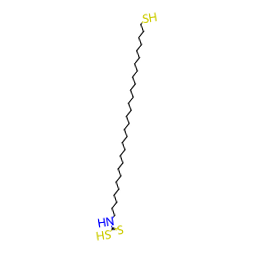 S=C(S)NCCCCCCCCCCCCCCCCCCCCCCCCCCCCCCS